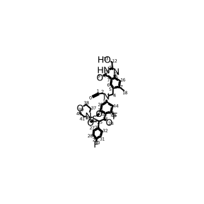 C#CCN(Cc1cc2c(=O)[nH]c(CO)nc2cc1C)c1ccc(C(=O)C(c2ccc(F)cc2)S(=O)(=O)N2CCOCC2)c(F)c1